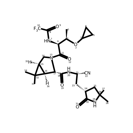 C[C@@H](OC1CC1)[C@H](NC(=O)C(F)(F)F)C(=O)N1C[C@H]2[C@@H]([C@H]1C(=O)N[C@H](C#N)C[C@@H]1CC(C)(C)NC1=O)C2(C)C